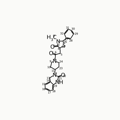 CN1C(=O)C(CC(=O)N2CCC(N3Cc4ccccc4NC3=O)CC2)SC1c1ccccc1